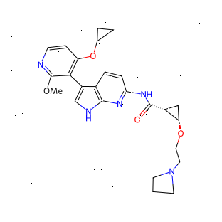 COc1nccc(OC2CC2)c1-c1c[nH]c2nc(NC(=O)[C@@H]3C[C@H]3OCCN3CCC3)ccc12